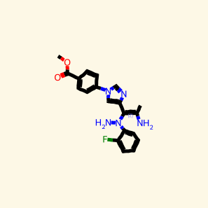 COC(=O)c1ccc(-n2cnc(/C(=C(\C)N)N(N)c3ccccc3F)c2)cc1